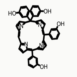 Oc1cccc(C2=C3C=CC(=N3)C=C3C=CC(N3)C(c3cccc(O)c3)(c3cccc(O)c3)C3=NC(=C(c4cccc(O)c4)c4ccc2[nH]4)C=C3)c1